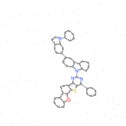 c1ccc(-c2nc(-n3c4ccccc4c4cc(-c5ccc6ccn(-c7ccccc7)c6c5)ccc43)nc3c2sc2c3ccc3c4ccccc4oc32)cc1